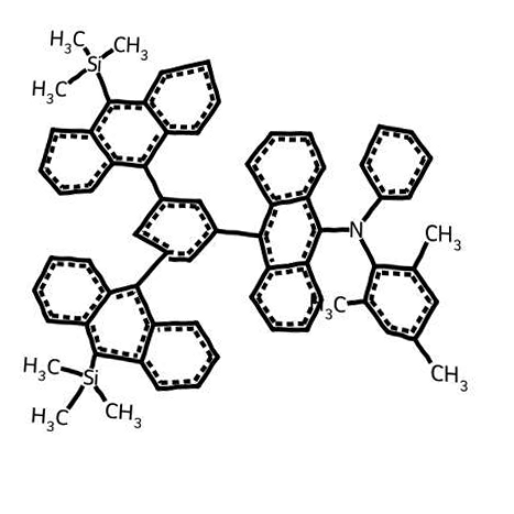 Cc1cc(C)c(N(c2ccccc2)c2c3ccccc3c(-c3cc(-c4c5ccccc5c([Si](C)(C)C)c5ccccc45)cc(-c4c5ccccc5c([Si](C)(C)C)c5ccccc45)c3)c3ccccc23)c(C)c1